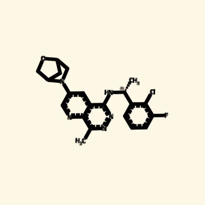 Cc1nnc(N[C@H](C)c2cccc(F)c2Cl)c2cc(N3CC4CC3CO4)cnc12